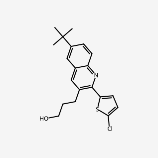 CC(C)(C)c1ccc2nc(-c3ccc(Cl)s3)c(CCCO)cc2c1